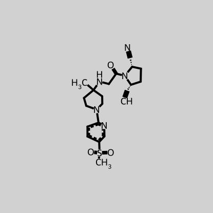 C#C[C@H]1CC[C@@H](C#N)N1C(=O)CNC1(C)CCN(c2ccc(S(C)(=O)=O)cn2)CC1